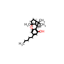 CCCCCc1cc(O)c2c(c1)OC1(C)CCC3C1[C@@H]2C3(C)C